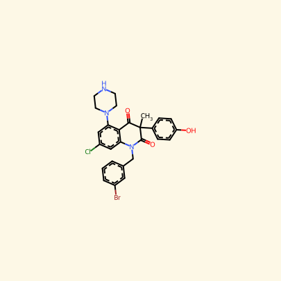 CC1(c2ccc(O)cc2)C(=O)c2c(N3CCNCC3)cc(Cl)cc2N(Cc2cccc(Br)c2)C1=O